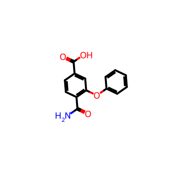 NC(=O)c1ccc(C(=O)O)cc1Oc1ccccc1